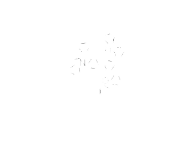 Cc1ccc(-c2cc3ccccc3n2-c2ccc(-c3c(C)c(-c4cccc5c6c(oc45)C=CCC6)c(C)c(-c4cccc5c4oc4ccccc45)c3C)cc2)cc1